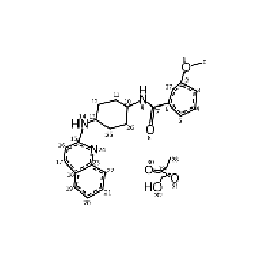 COc1cccc(C(=O)NC2CCC(Nc3ccc4ccccc4n3)CC2)c1.CS(=O)(=O)O